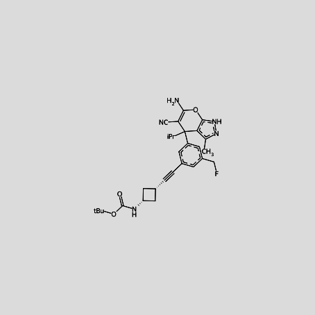 Cc1n[nH]c2c1C(c1cc(C#C[C@H]3C[C@@H](NC(=O)OC(C)(C)C)C3)cc(CF)c1)(C(C)C)C(C#N)=C(N)O2